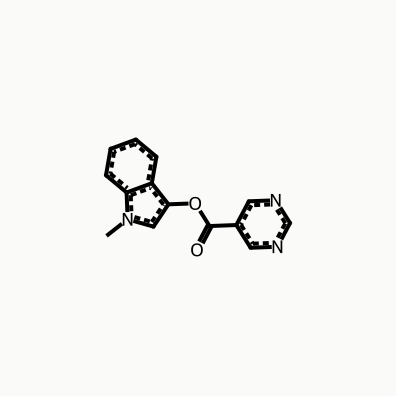 Cn1cc(OC(=O)c2cncnc2)c2ccccc21